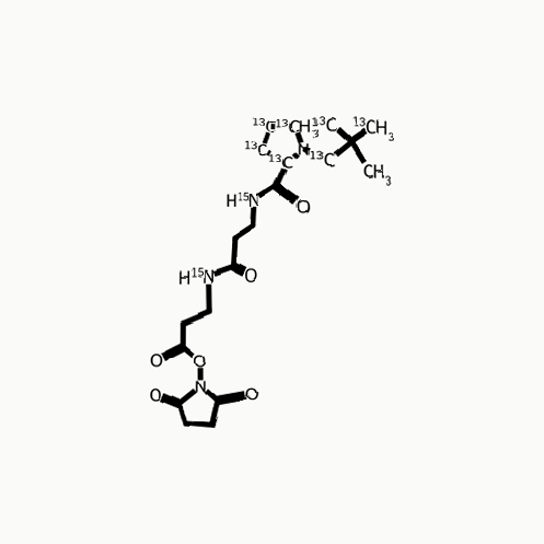 CC([13CH3])([13CH3])[13CH2]N1[13CH2][13CH2][13CH2][13CH]1C(=O)[15NH]CCC(=O)[15NH]CCC(=O)ON1C(=O)CCC1=O